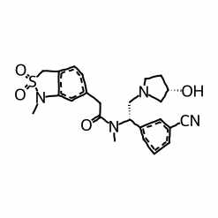 CN(C(=O)Cc1ccc2c(c1)N(C)S(=O)(=O)C2)[C@H](CN1CC[C@H](O)C1)c1cccc(C#N)c1